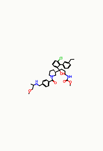 CCc1cccc(-c2c(Cl)cccc2[C@](O)(CCCNC(=O)OC)[C@@H]2CCCN(C(=O)c3ccc(CNC(C)COC)cc3)C2)c1